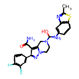 Cc1nc2cc(NC(O)N3CCn4nc(-c5ccc(F)c(F)c5)c(C(N)=O)c4C3)ccc2s1